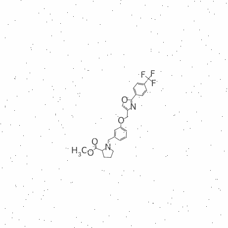 COC(=O)C1CCCN1Cc1cccc(OCc2coc(-c3ccc(C(F)(F)F)cc3)n2)c1